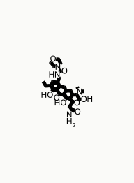 CCc1cc(CNC(=O)N2CCOCC2)c2c(c1O)C(=O)C1=C(O)C(C(=O)CC(N)=O)C(C(CO)N(C)C)CC1C2